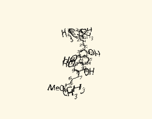 COC(C)(C)CCCCC1=CC(O)C=C(/C=C\C2=CC(O)C=C(CCCCC(C)(C)CO)C2O)C1O